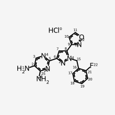 Cl.Nc1cnc(-c2cc(-c3ccon3)n(Cc3ccccc3F)n2)nc1N